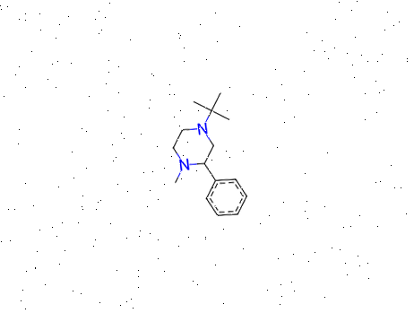 CN1CCN(C(C)(C)C)CC1c1ccccc1